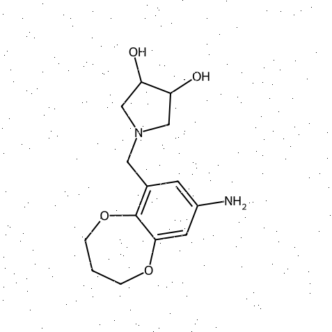 Nc1cc(CN2CC(O)C(O)C2)c2c(c1)OCCCO2